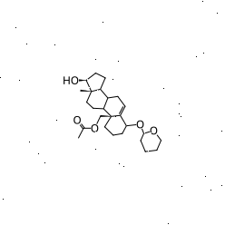 CC(=O)OC[C@]12CCCC(OC3CCCCO3)C1=CCC1C2CC[C@@]2(C)C1CC[C@@H]2O